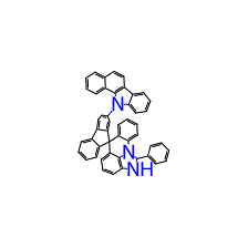 c1ccc(C2Nc3cccc4c3N2c2ccccc2C42c3ccccc3-c3ccc(-n4c5ccccc5c5ccc6ccccc6c54)cc32)cc1